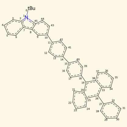 CC(C)(C)n1c2ccccc2c2cc(-c3ccc(-c4ccc(-c5c6ccccc6c(-c6ccccc6)c6ccccc56)cc4)cc3)ccc21